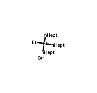 CCCCCCC[P+](CC)(CCCCCCC)CCCCCCC.[Br-]